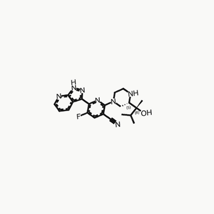 CC(C)[C@@](C)(O)[C@@H]1CN(c2nc(-c3n[nH]c4ncccc34)c(F)cc2C#N)CCN1